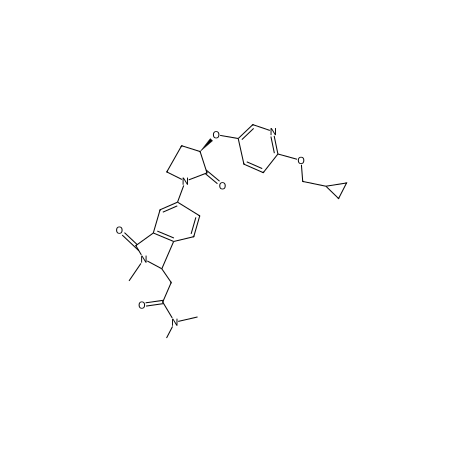 CN(C)C(=O)CC1c2ccc(N3CC[C@@H](Oc4ccc(OCC5CC5)nc4)C3=O)cc2C(=O)N1C